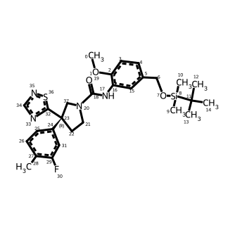 COc1ccc(CO[Si](C)(C)C(C)(C)C)cc1NC(=O)N1CC[C@](c2ccc(C)c(F)c2)(c2ncns2)C1